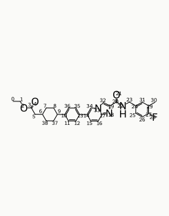 CCOC(=O)CC1CCC(c2ccc(-c3ccc4nc(C(=O)NCc5ccc(F)c(C)c5)cn4c3)cc2)CC1